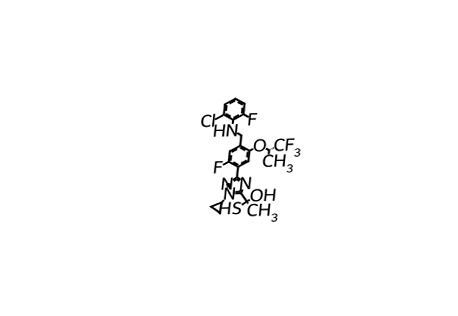 C[C@H](Oc1cc(-c2nc([C@@](C)(O)S)n(C3CC3)n2)c(F)cc1CNc1c(F)cccc1Cl)C(F)(F)F